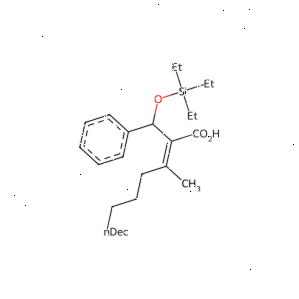 CCCCCCCCCCCCCC(C)=C(C(=O)O)C(O[Si](CC)(CC)CC)c1ccccc1